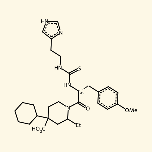 CCC1CC(C(=O)O)(C2CCCCC2)CCN1C(=O)[C@@H](Cc1ccc(OC)cc1)NC(=S)NCCc1c[nH]cn1